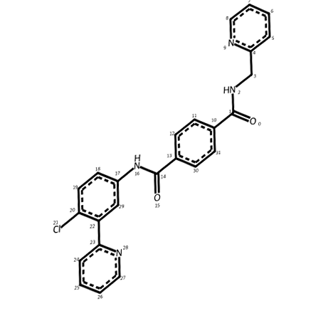 O=C(NCc1ccccn1)c1ccc(C(=O)Nc2ccc(Cl)c(-c3ccccn3)c2)cc1